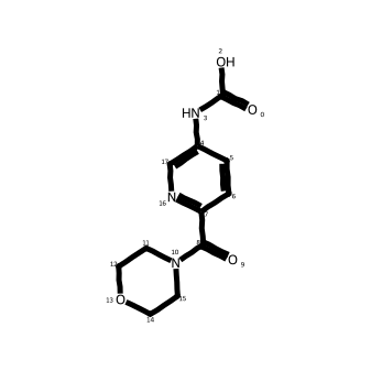 O=C(O)Nc1ccc(C(=O)N2CCOCC2)nc1